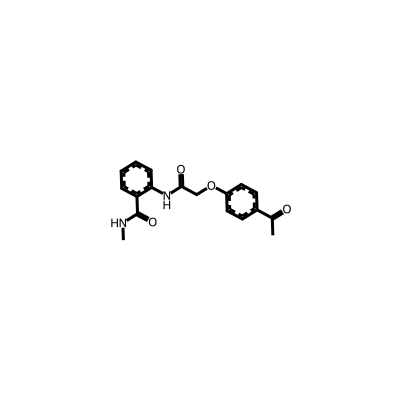 CNC(=O)c1ccccc1NC(=O)COc1ccc(C(C)=O)cc1